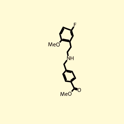 COC(=O)c1ccc(CNCCc2cc(F)ccc2OC)cc1